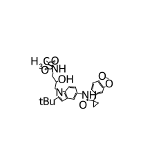 CC(C)(C)c1cc2cc(NC(=O)C3(c4ccc5c(c4)OCO5)CC3)ccc2n1CC(O)CNS(C)(=O)=O